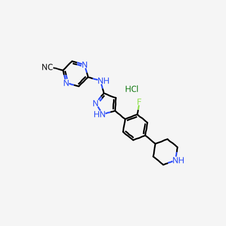 Cl.N#Cc1cnc(Nc2cc(-c3ccc(C4CCNCC4)cc3F)[nH]n2)cn1